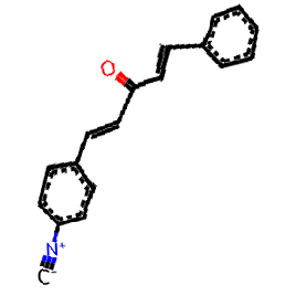 [C-]#[N+]c1ccc(/C=C/C(=O)/C=C/c2ccccc2)cc1